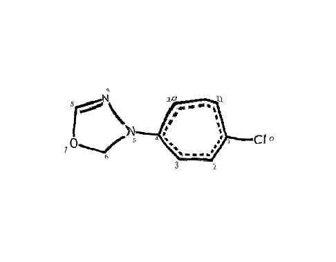 Clc1ccc(N2COC=N2)cc1